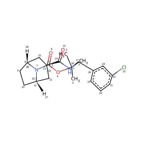 CC(C)(C)OC(=O)N1[C@@H]2CC[C@H]1C[C@H](C(=O)NCc1cccc(Cl)c1)C2